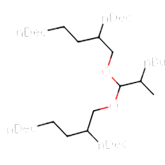 CCCCCCCCCCCCC(CCCCCCCCCC)COC(OCC(CCCCCCCCCC)CCCCCCCCCCCC)C(C)CCCC